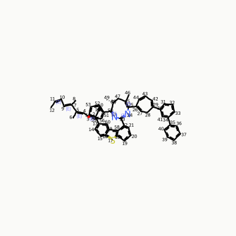 C#C\C(=C/C=C(C)/C(C)=C/C=C\C)c1ccc2sc3cccc(C4=N/C(C5=CCC(c6cccc(-c7ccccc7)c6)=CC=C5)=C(/C)C[C@@H](C)/C(c5ccccc5)=N\4)c3c2c1